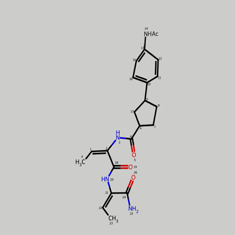 CC=C(NC(=O)C1CCC(c2ccc(NC(C)=O)cc2)C1)C(=O)N/C(=C/C)C(N)=O